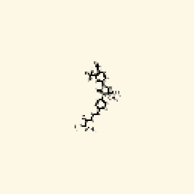 CC(C)C(=O)CCCc1ccc(N2C(=S)N(c3ccc(C#N)c(C(F)(F)F)c3)CC2(C)C)cc1